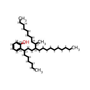 CCCCCCCCCCC(CCC(CCCCCC)c1ccccc1O)C(C)CCCCCCCC